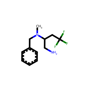 CN(Cc1ccccc1)C(CN)CC(F)(F)F